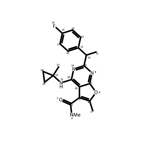 CNC(=O)c1c(C)oc2nc(C(C)c3ccc(F)cc3)nc(NC3(C)CC3)c12